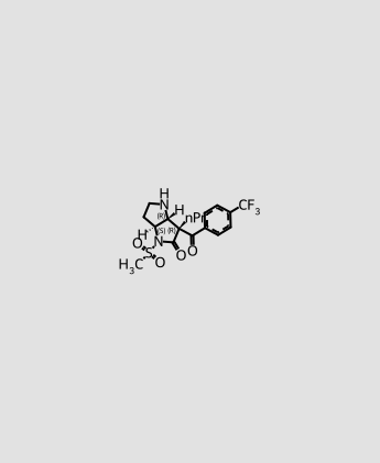 CCC[C@@]1(C(=O)c2ccc(C(F)(F)F)cc2)C(=O)N(S(C)(=O)=O)[C@H]2CCN[C@@H]21